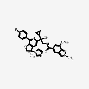 COc1cc(C(=O)NCC(O)(c2cc3c(c(-c4ccc(F)cc4)n2)OC[C@@]3(n2ccnc2)C(F)(F)F)C2CC2)cc2cn(C)nc12